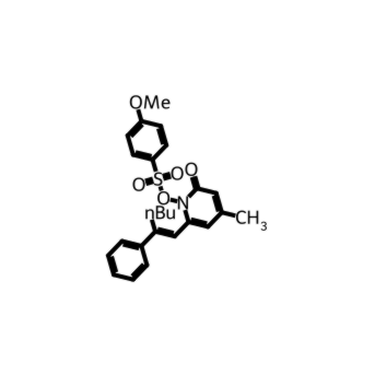 CCCC/C(=C\c1cc(C)cc(=O)n1OS(=O)(=O)c1ccc(OC)cc1)c1ccccc1